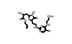 C=CCOC(=O)C(C#N)CC1SC(CCNc2ncc(Br)c(NCCOC)n2)C(=O)N1CC